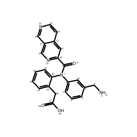 NCc1cccc(N(C(=O)c2cc3ccncc3cn2)c2ccccc2CC(=O)O)c1